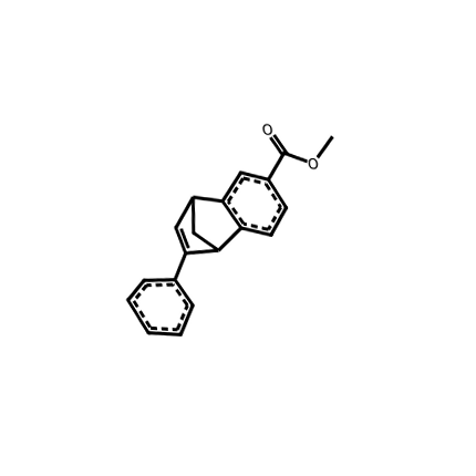 COC(=O)c1ccc2c(c1)C1C=C(c3ccccc3)C2C1